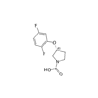 O=C(O)N1CC[C@@H](Oc2cc(F)ccc2F)C1